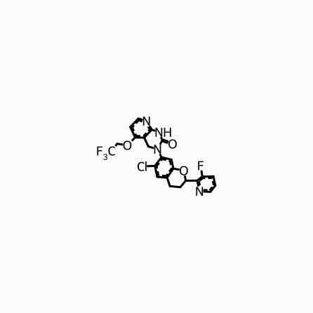 O=C1Nc2nccc(OCC(F)(F)F)c2CN1c1cc2c(cc1Cl)CCC(c1ncccc1F)O2